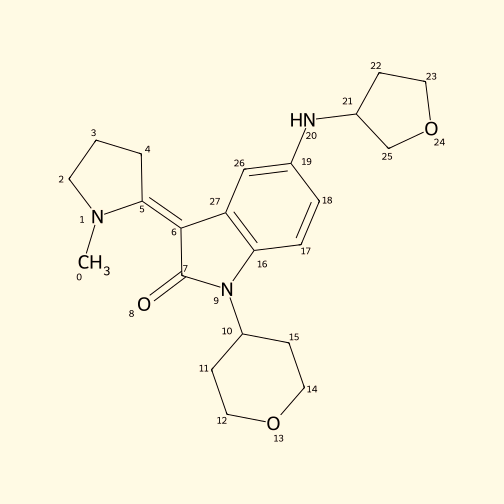 CN1CCC/C1=C1/C(=O)N(C2CCOCC2)c2ccc(NC3CCOC3)cc21